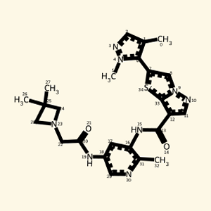 Cc1cnn(C)c1-c1cn2ncc(C(=O)Nc3cc(NC(=O)CN4CC(C)(C)C4)cnc3C)c2s1